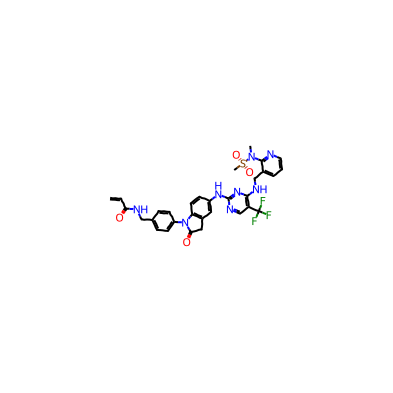 C=CC(=O)NCc1ccc(N2C(=O)Cc3cc(Nc4ncc(C(F)(F)F)c(NCc5cccnc5N(C)S(C)(=O)=O)n4)ccc32)cc1